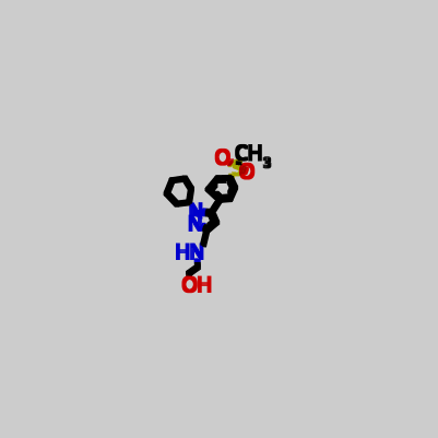 CS(=O)(=O)c1ccc(-c2cc(CNCCO)nn2C2CCCCC2)cc1